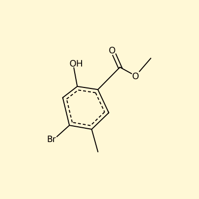 COC(=O)c1cc(C)c(Br)cc1O